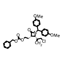 C=C(CCl)[C@@H]1[C@H](CCOC(=O)OCc2ccccc2)C(=O)N1C(c1ccc(OC)cc1)c1ccc(OC)cc1